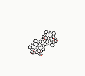 N#Cc1c(-n2c3ccccc3c3ccccc32)c(-n2c3ccccc3c3ccccc32)c(C#N)c(-n2c3ccccc3c3cc(-c4ccc5c6ccccc6n(-c6c(C#N)c(-n7c8ccccc8c8ccccc87)c(C#N)c(-n7c8ccccc8c8ccccc87)c6-n6c7ccccc7c7ccccc76)c5c4)ccc32)c1-n1c2ccccc2c2ccccc21